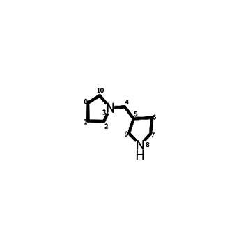 C1CCN(CC2CCNC2)C1